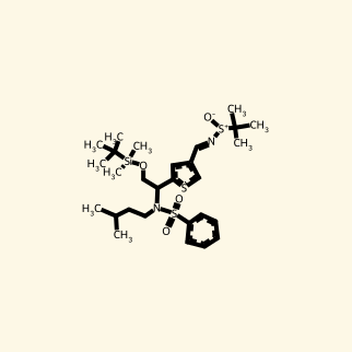 CC(C)CCN(C(CO[Si](C)(C)C(C)(C)C)c1cc(/C=N/[S+]([O-])C(C)(C)C)cs1)S(=O)(=O)c1ccccc1